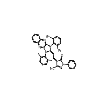 Cc1cccc(C)c1N1/C(=C\C=C2/C(=O)N(c3ccccc3)N=C2C#N)N(c2c(C(C)C)cccc2C(C)C)c2nc3ccccc3nc21